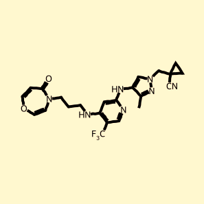 Cc1nn(CC2(C#N)CC2)cc1Nc1cc(NCCCN2C=COC=CC2=O)c(C(F)(F)F)cn1